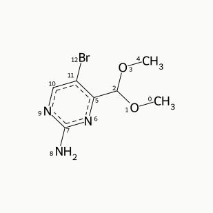 COC(OC)c1nc(N)ncc1Br